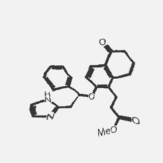 COC(=O)CCc1c(O[C@@H](Cc2ncc[nH]2)c2ccccc2)ccc2c1CCCC2=O